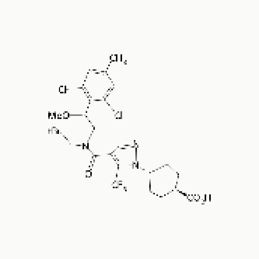 CO[C@@H](CN(CC(C)(C)C)C(=O)c1cnn([C@H]2CC[C@H](C(=O)O)CC2)c1C(F)(F)F)c1c(Cl)cc(C)cc1Cl